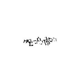 O=C(O)COc1cccc2c1CCCC2CNS(=O)(=O)c1ccc(Cl)cc1